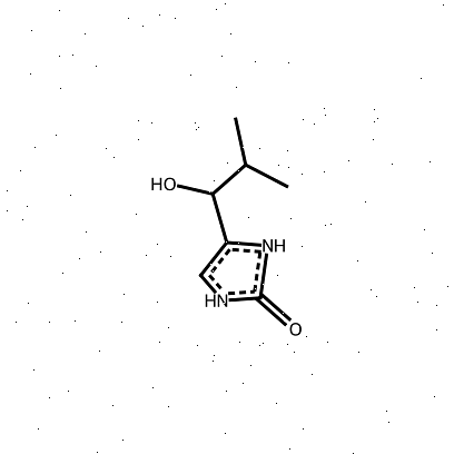 CC(C)C(O)c1c[nH]c(=O)[nH]1